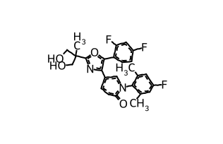 Cc1cc(F)cc(C)c1-n1cc(-c2nc(C(C)(CO)CO)oc2-c2ccc(F)cc2F)ccc1=O